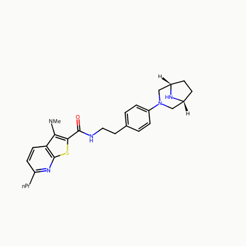 CCCc1ccc2c(NC)c(C(=O)NCCc3ccc(N4C[C@H]5CC[C@@H](C4)N5)cc3)sc2n1